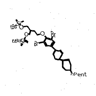 CCCCCC1CCC(C2CCC(c3cc(Br)c(OCCC(CO[Si](C)(C)C(C)(C)C)CO[Si](C)(C)C(C)(C)C)c(Br)c3)CC2)CC1